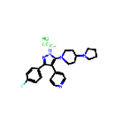 Cl.Cl.Cl.Fc1ccc(-c2n[nH]c(N3CCC(N4CCCC4)CC3)c2-c2ccncc2)cc1